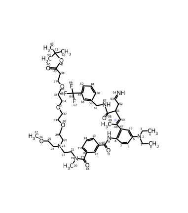 CCN(CC)c1ccc(NC(=O)c2cccc(C(=O)N(C)CCN(CCOC)CCOCCOCCOCCC(=O)OC(C)(C)C)c2)c(/C(C)=C/C(CC=N)C(=O)NCc2cccc(C(F)(F)F)c2)c1